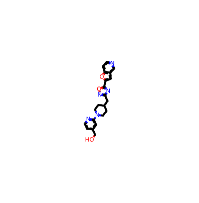 OCc1ccnc(N2CCC(Cc3noc(-c4cc5cnccc5o4)n3)CC2)c1